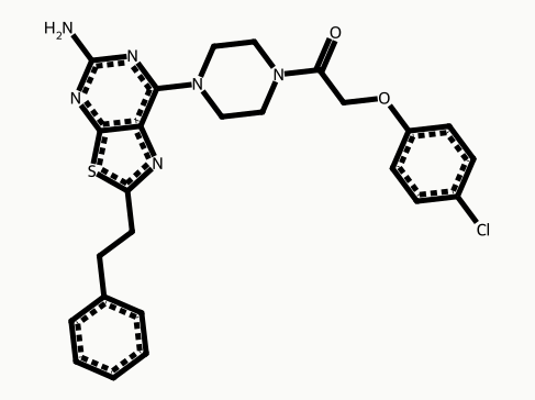 Nc1nc(N2CCN(C(=O)COc3ccc(Cl)cc3)CC2)c2nc(CCc3ccccc3)sc2n1